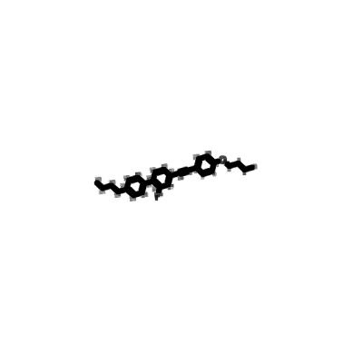 CCCCOc1ccc(C#Cc2ccc(-c3ccc(CCCC)cc3)c(F)c2)cc1